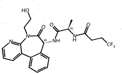 C[C@@H](NC(=O)CCC(F)(F)F)C(=O)N[C@H]1C(=O)N(CCO)c2ncccc2-c2ccccc21